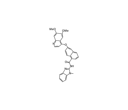 COc1cc2nccc(Oc3ccc4c(C(=O)Nc5nc6ccccc6n5C)cccc4c3)c2cc1OC